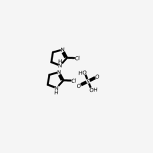 ClC1=NCCN1.ClC1=NCCN1.O=S(=O)(O)O